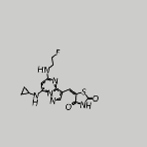 O=C1NC(=O)/C(=C\c2cnn3c(NC4CC4)cc(NCCF)nc23)S1